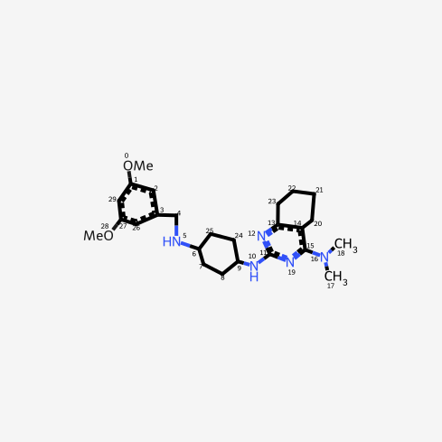 COc1cc(CNC2CCC(Nc3nc4c(c(N(C)C)n3)CCCC4)CC2)cc(OC)c1